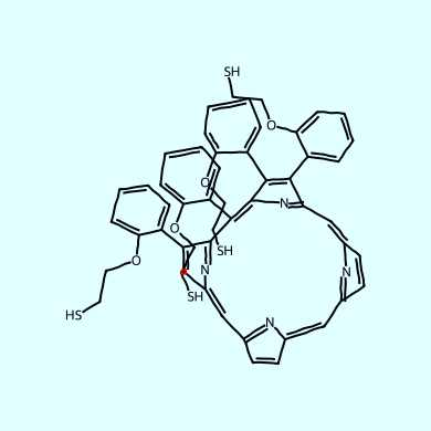 SCCOc1ccccc1C1=CC2=CC3=NC(=CC4=NC(=CC5=NC(=C(c6ccccc6OCCS)C1=N2)C(c1ccccc1OCCS)=C5c1ccccc1OCCS)C=C4)C=C3